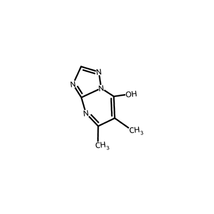 Cc1nc2ncnn2c(O)c1C